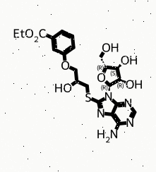 CCOC(=O)c1cccc(OCC(O)CSc2nc3c(N)ncnc3n2[C@@H]2O[C@H](CO)[C@@H](O)[C@H]2O)c1